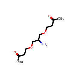 CC(C)COC(=O)CCOCC(N)COCCC(=O)OCC(C)C